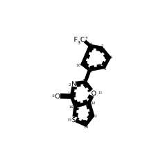 O=c1nc(-c2cccc(C(F)(F)F)c2)oc2ccsc12